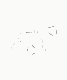 C1CCOC1.C1CCOC1.CCCC[N]([Ti+2][N](CCCC)c1ccccc1C)c1ccccc1C.[Br-].[Br-]